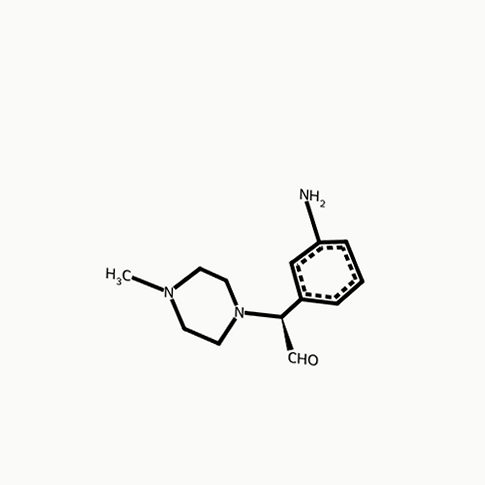 CN1CCN([C@H](C=O)c2cccc(N)c2)CC1